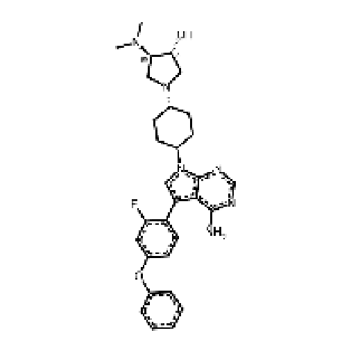 CN(C)[C@@H]1CN([C@H]2CC[C@H](n3cc(-c4ccc(Oc5ccccc5)cc4F)c4c(N)ncnc43)CC2)C[C@H]1O